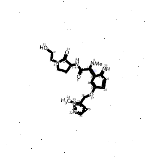 CN/C(C(=O)NC1CCN(CCO)C1=O)=C1/C=C(OCc2ccnn2C)C=CC1=N